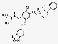 O=C(O)C(CO)NCc1cc(Cl)c(OCC2(F)C=CC=C(c3ccccc3)C2Br)cc1OCc1ccc2nonc2c1